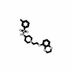 Cc1cccc(S(=O)(=O)NC2CCN(CCOc3cccc4c3OCCO4)CC2)c1